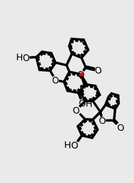 O=C(Oc1ccc2c(c1)Oc1cc(O)ccc1C21OC(=O)c2ccccc21)c1ccccc1C1c2ccc(O)cc2Oc2cc(O)ccc21